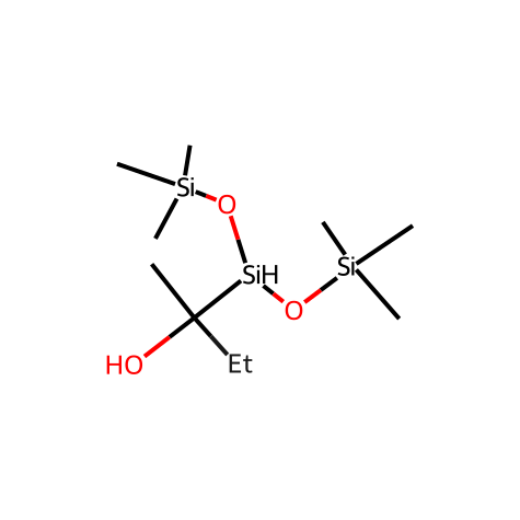 CCC(C)(O)[SiH](O[Si](C)(C)C)O[Si](C)(C)C